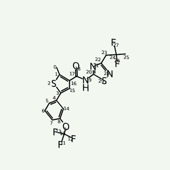 Cc1sc(-c2cccc(OC(F)(F)F)c2)cc1C(=O)Nc1nc(CC(C)(F)F)ns1